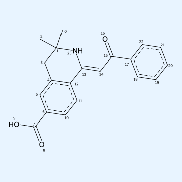 CC1(C)Cc2cc(C(=O)O)ccc2C(=CC(=O)c2ccccc2)N1